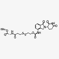 CC(C)(C)OC(=O)CNC(=O)CCSSCCOC(=O)Nc1cccc2c1CN(C1CCC(=O)NC1=O)C2=O